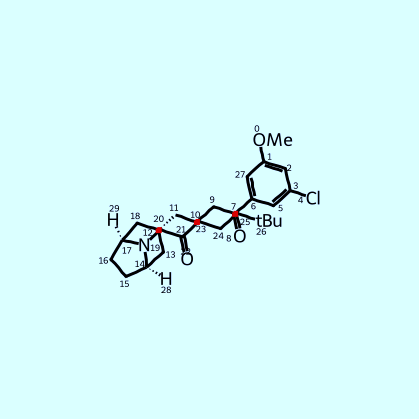 COc1cc(Cl)cc(C(=O)CCC[C@@H]2C[C@H]3CC[C@@H](C2)N3CC(=O)CCCC(C)(C)C)c1